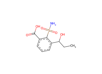 CCC(O)c1cccc(C(=O)O)c1S(N)(=O)=O